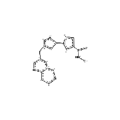 O=C(NO)c1cnc(-c2cn(Cc3cnc4ccccc4c3)cn2)s1